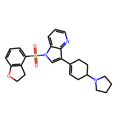 O=S(=O)(c1cccc2c1CCO2)n1cc(C2=CCC(N3CCCC3)CC2)c2ncccc21